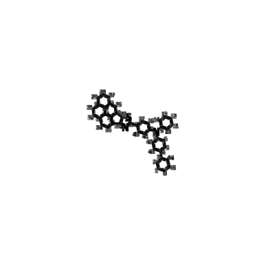 c1ccc(-c2ccc(N(c3ccccc3)c3ccc(-c4nc5c(s4)-c4cc6cccc7ccc8ccc-5c4c8c76)cc3)cc2)cc1